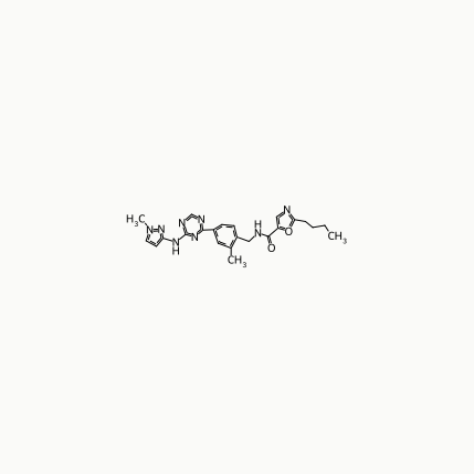 CCCCc1ncc(C(=O)NCc2ccc(-c3ncnc(Nc4ccn(C)n4)n3)cc2C)o1